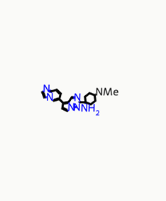 CNC1CCC(N)(c2ncc3c(-c4ccc5nccn5c4)ccn3n2)CC1